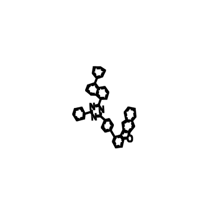 c1ccc(-c2nc(-c3ccc(-c4cccc5oc6cc7ccccc7cc6c45)cc3)nc(-c3cccc4c(-c5ccccc5)cccc34)n2)cc1